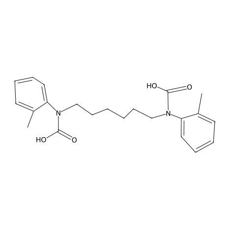 Cc1ccccc1N(CCCCCCN(C(=O)O)c1ccccc1C)C(=O)O